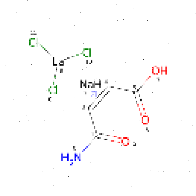 NC(=O)/C=C\C(=O)O.[Cl][La]([Cl])[Cl].[NaH]